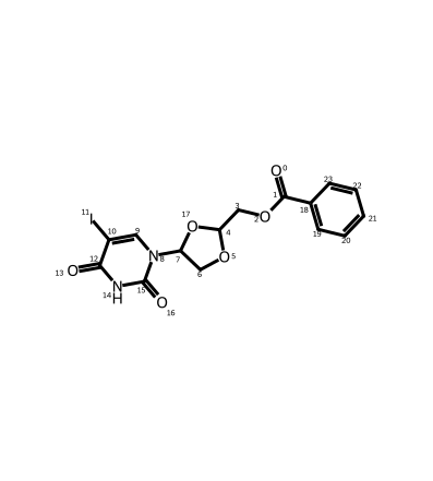 O=C(OCC1OCC(n2cc(I)c(=O)[nH]c2=O)O1)c1ccccc1